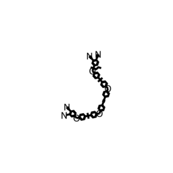 CCCC(C)(Oc1ccc(C(C)(C)c2ccc(Oc3ccc(C#Cc4ccc(Oc5ccc(C(C)(C)c6ccc(Oc7ccc(C#N)c(C#N)c7)cc6)cc5)cc4)cc3)cc2)cc1)c1ccc(C#N)c(C#N)c1